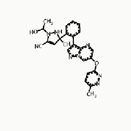 Cc1ccc(Oc2cnc3c(-c4ccccc4C4(C)C=C(C#N)N(C(C)O)N4)cnn3c2)nn1